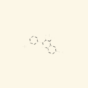 O=c1c(O)c(-c2cccc(O)c2)oc2ccc(O)cc12